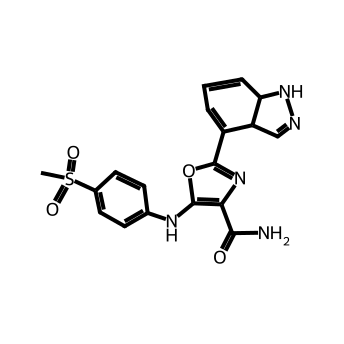 CS(=O)(=O)c1ccc(Nc2oc(C3=CC=CC4NN=CC34)nc2C(N)=O)cc1